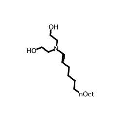 CCCCCCCCCCCC/C=C/N(CCO)CCO